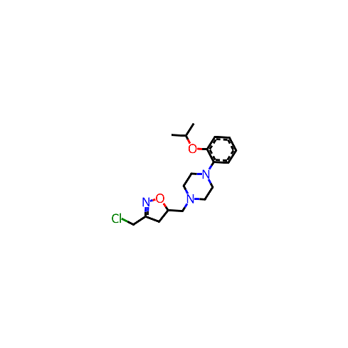 CC(C)Oc1ccccc1N1CCN(CC2CC(CCl)=NO2)CC1